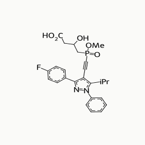 COP(=O)(C#Cc1c(-c2ccc(F)cc2)nn(-c2ccccc2)c1C(C)C)CC(O)CC(=O)O